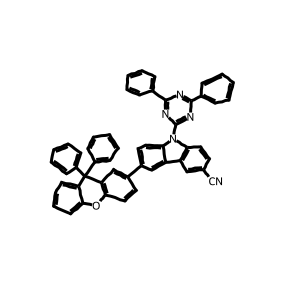 N#Cc1ccc2c(c1)c1cc(-c3ccc4c(c3)C(c3ccccc3)(c3ccccc3)c3ccccc3O4)ccc1n2-c1nc(-c2ccccc2)nc(-c2ccccc2)n1